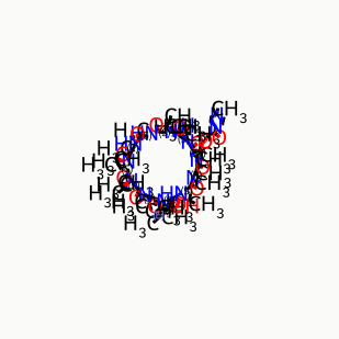 C/C=C/C[C@@H](C)[C@@H](O)[C@H]1C(=O)N[C@@H](CCC)C(=O)N(C)[C@H](C)C(=O)N(C)[C@@H]([C@H](C)COCC(=O)N2CCN(C)CC2)C(=O)N[C@@H](C(C)C)C(=O)N(C)[C@@H](CC(C)C)C(=O)N[C@@H](C)C(=O)N[C@H](C)C(=O)N(C)[C@@H](CC(C)C)C(=O)N(C)[C@@H](CC(C)C)C(=O)N(C)[C@@H](C(C)C)C(=O)N1C